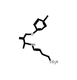 C=C(COc1ccc(C)cc1)C(C)N/C=C/CCC(=O)O